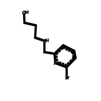 OCCCNCc1cccc(Br)n1